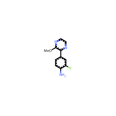 COc1nccnc1-c1ccc(N)c(F)c1